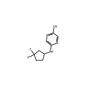 N#Cc1cnc(NC2CCC(F)(F)C2)cn1